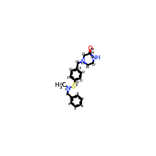 CN(Cc1ccccc1)Sc1ccc(CN2CCNC(=O)C2)cc1